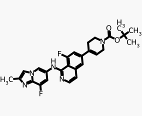 Cc1cn2cc(Nc3nccc4cc(C5=CCN(C(=O)OC(C)(C)C)CC5)cc(F)c34)cc(F)c2n1